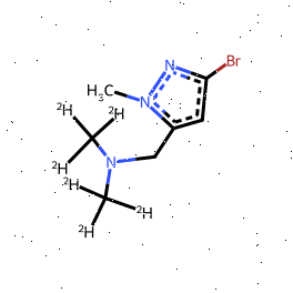 [2H]C([2H])([2H])N(Cc1cc(Br)nn1C)C([2H])([2H])[2H]